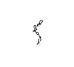 COCCN1CCN(C(=O)COc2ccc(-c3[nH]nc4c3C(=O)c3c(NC(=O)NN5CCOCC5)cccc3-4)cc2)CC1